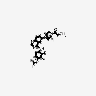 C=CC(=O)N1C[C@@H]2C[C@H]1CN2c1ccc2ncnc(Nc3ccc(OC(F)F)c(F)c3F)c2n1